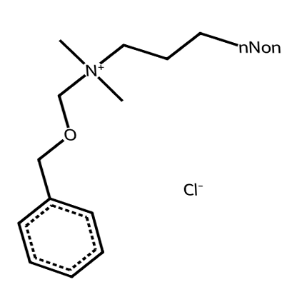 CCCCCCCCCCCC[N+](C)(C)COCc1ccccc1.[Cl-]